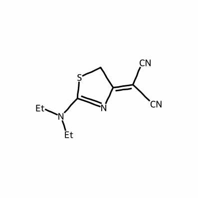 CCN(CC)C1=NC(=C(C#N)C#N)CS1